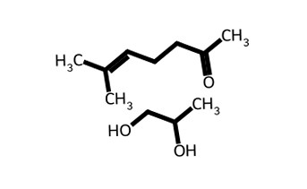 CC(=O)CCC=C(C)C.CC(O)CO